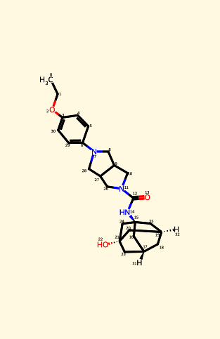 CCOc1ccc(N2CC3CN(C(=O)N[C@@]45C[C@@H]6C[C@@H](C[C@@](O)(C6)C4)C5)CC3C2)cc1